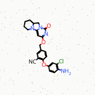 N#Cc1cc(COc2cc3n(c(=O)n2)CC2CCCCN32)ccc1Oc1ccc(N)c(Cl)c1